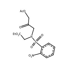 CCOC(=O)CN(CC(=O)COC(C)=O)S(=O)(=O)c1ccccc1[N+](=O)[O-]